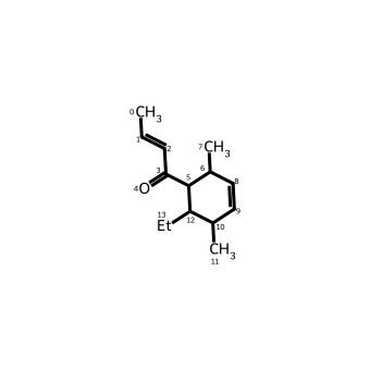 CC=CC(=O)C1C(C)C=CC(C)C1CC